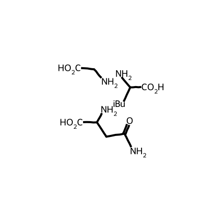 CCC(C)C(N)C(=O)O.NC(=O)CC(N)C(=O)O.NCC(=O)O